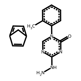 C1=CC2=CC=C1C2.Cc1ccccc1-n1cnc(NN)nc1=O